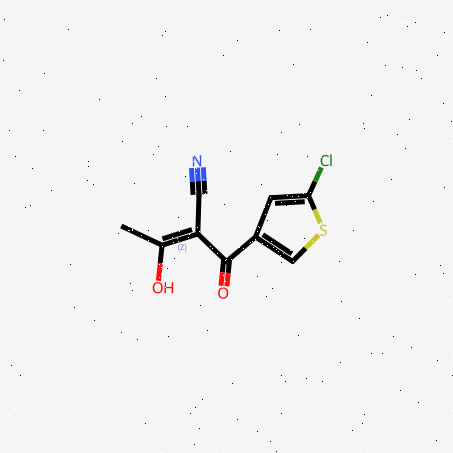 C/C(O)=C(\C#N)C(=O)c1csc(Cl)c1